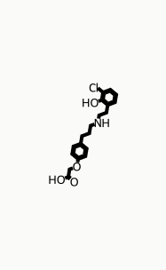 O=C(O)COc1ccc(CCCNCCc2cccc(Cl)c2O)cc1